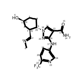 CN=C[C@H]1C[C@@H](O)CC[C@@H]1n1cc(C(N)=O)c(Nc2ccc(C(F)(F)F)nc2)n1